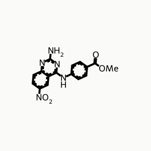 COC(=O)c1ccc(Nc2nc(N)nc3ccc([N+](=O)[O-])cc23)cc1